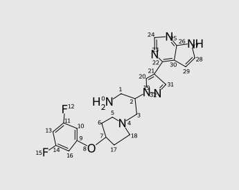 NCC(CN1CCC(Oc2cc(F)cc(F)c2)CC1)n1cc(-c2ncnc3[nH]ccc23)cn1